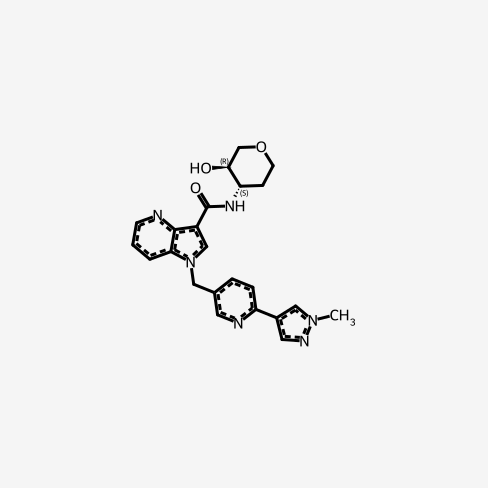 Cn1cc(-c2ccc(Cn3cc(C(=O)N[C@H]4CCOC[C@@H]4O)c4ncccc43)cn2)cn1